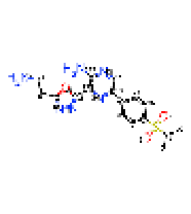 CC(C)S(=O)(=O)c1ccc(-c2cnc(N)c(-c3nnc(CCN)o3)n2)cc1